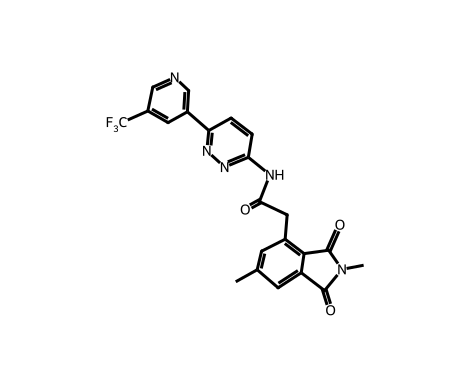 Cc1cc(CC(=O)Nc2ccc(-c3cncc(C(F)(F)F)c3)nn2)c2c(c1)C(=O)N(C)C2=O